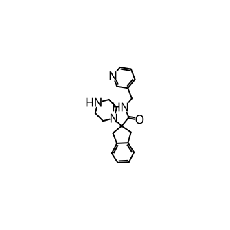 O=C(NCc1cccnc1)C1(N2CCNCC2)Cc2ccccc2C1